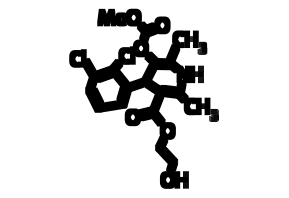 COC(=O)OC1=C(C)NC(C)=C(C(=O)OCCO)C1c1cccc(Cl)c1Cl